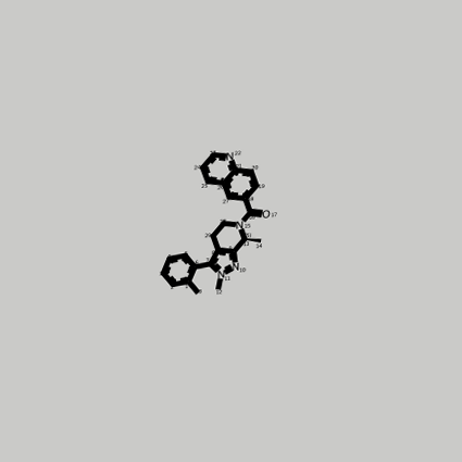 Cc1ccccc1-c1c2c(nn1C)[C@H](C)N(C(=O)c1ccc3ncccc3c1)CC2